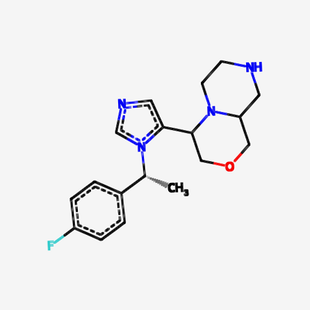 C[C@H](c1ccc(F)cc1)n1cncc1C1COCC2CNCCN21